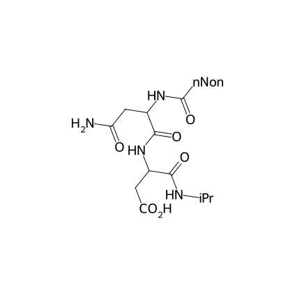 CCCCCCCCCC(=O)NC(CC(N)=O)C(=O)NC(CC(=O)O)C(=O)NC(C)C